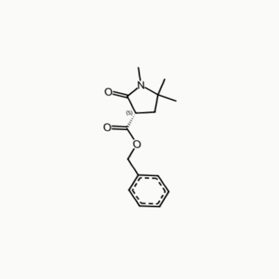 CN1C(=O)[C@@H](C(=O)OCc2ccccc2)CC1(C)C